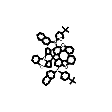 CC(C)(C)c1ccc(N(c2ccc3ccccc3c2)c2cc3c(c4c2oc2ccccc24)-c2c(cc(N(c4ccc(C(C)(C)C)cc4)c4ccc5ccccc5c4)c4oc5ccccc5c24)C32c3ccccc3N3c4ccccc4Oc4cccc2c43)cc1